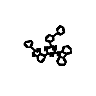 c1ccc(-c2cccc(-c3nc(-c4cccc5sc(-c6ccccc6)nc45)nc(-n4c5ccccc5c5ccccc54)n3)c2)cc1